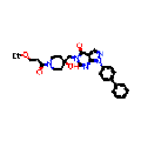 CCOCCC(=O)N1CCC(O)(Cn2cnc3c(cnn3-c3ccc(-c4ccccc4)cc3)c2=O)CC1